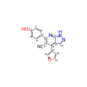 N#Cc1c(-c2ccc(O)cc2)nc2[nH]ncc2c1-c1ccoc1